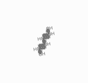 Oc1ccc(C(O)c2cc3cccc4c(C(O)c5ccc(C(O)c6cc7cccc8c(C(O)c9ccc(O)cc9)cc9cccc6c9c78)cc5)cc5cccc2c5c34)cc1